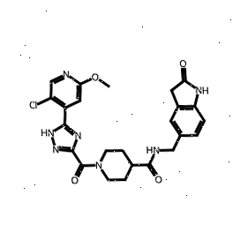 COc1cc(-c2nc(C(=O)N3CCC(C(=O)NCc4ccc5c(c4)CC(=O)N5)CC3)n[nH]2)c(Cl)cn1